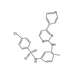 Cc1ccc(NS(=O)(=O)c2ccc(Cl)cc2)cc1Nc1nccc(-c2ccncc2)n1